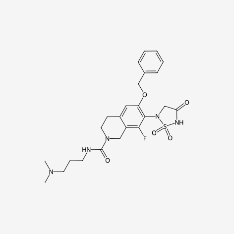 CN(C)CCCNC(=O)N1CCc2cc(OCc3ccccc3)c(N3CC(=O)NS3(=O)=O)c(F)c2C1